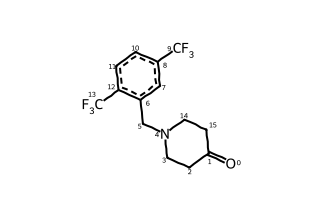 O=C1CCN(Cc2cc(C(F)(F)F)ccc2C(F)(F)F)CC1